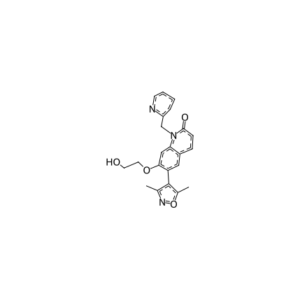 Cc1noc(C)c1-c1cc2ccc(=O)n(Cc3ccccn3)c2cc1OCCO